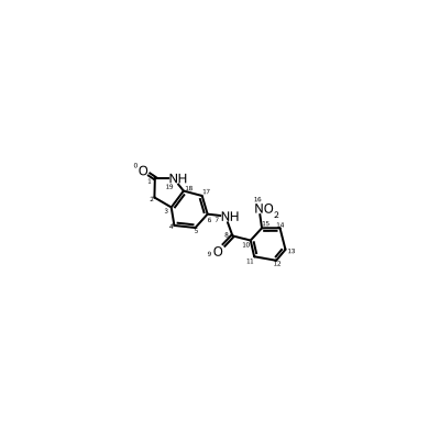 O=C1Cc2ccc(NC(=O)c3ccccc3[N+](=O)[O-])cc2N1